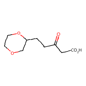 O=C(O)CC(=O)CCC1COCCO1